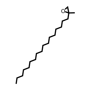 CCCCCCCCCCCCCCCCCC1(C)CO1